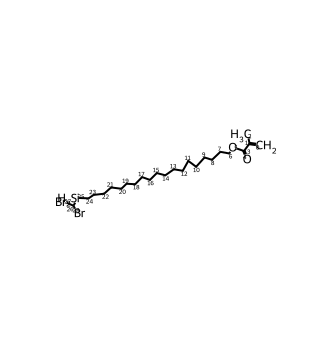 C=C(C)C(=O)OCCCCCCCCCCCCCCCCCCC[SiH2]C(Br)Br